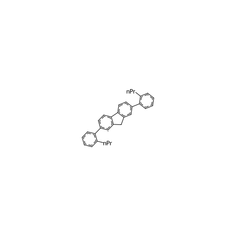 CCCc1ccccc1-c1[c]c2c(cc1)-c1ccc(-c3ccccc3CCC)cc1C2